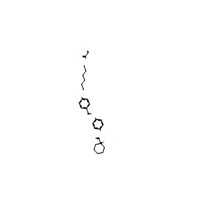 C=CC(=O)OCCCCCCOc1ccc(C(=O)Oc2ccc(OC(=O)C3(CCCCC)CCCCC3)cc2)cc1